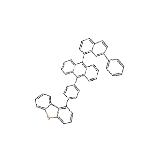 c1ccc(-c2ccc3cccc(-c4c5ccccc5c(-c5ccc(-c6cccc7sc8ccccc8c67)cc5)c5ccccc45)c3c2)cc1